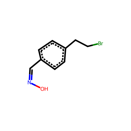 O/N=C\c1ccc(CCBr)cc1